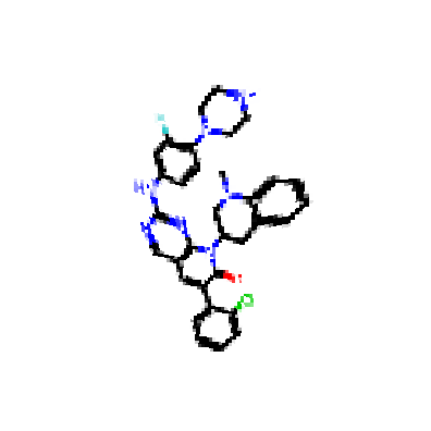 CN1CC(n2c(=O)c(-c3ccccc3Cl)cc3cnc(Nc4ccc(N5CCNCC5)c(F)c4)nc32)Cc2ccccc21